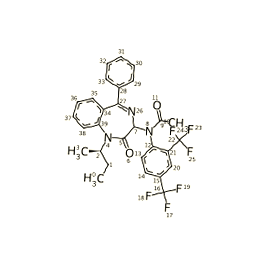 CC[C@@H](C)N1C(=O)C(N(C(C)=O)c2ccc(C(F)(F)F)cc2C(F)(F)F)N=C(c2ccccc2)c2ccccc21